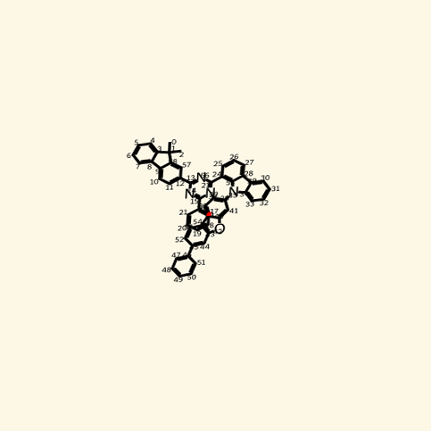 CC1(C)c2ccccc2-c2ccc(-c3nc(-c4ccccc4)nc(-c4cccc5c6ccccc6n(-c6ccc7c(c6)oc6cc(-c8ccccc8)ccc67)c45)n3)cc21